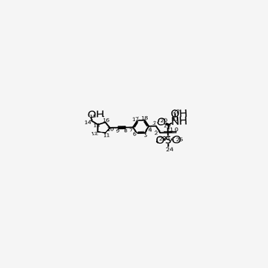 CC(CCc1ccc(C#CC2CCC(CO)C2)cc1)(C(=O)NO)S(C)(=O)=O